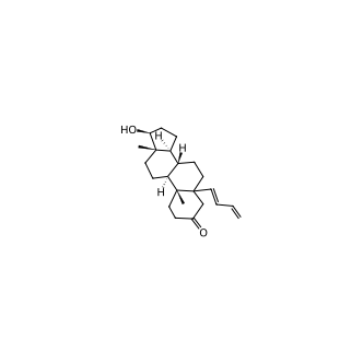 C=CC=CC12CC[C@H]3[C@@H]4CC[C@H](O)[C@@]4(C)CC[C@@H]3[C@@]1(C)CCC(=O)C2